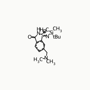 CN(C)Cc1ccc2c(c1)S(=O)(=N[Si](C)(C)C(C)(C)C)NC2=O